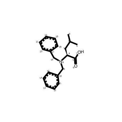 CC(C)C[C@@H](C(=O)O)N(Cc1ccccc1)Cc1ccccc1